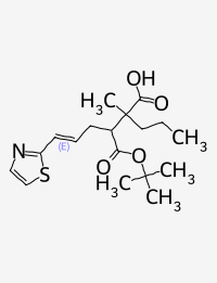 CCCC(C)(C(=O)O)C(C/C=C/c1nccs1)C(=O)OC(C)(C)C